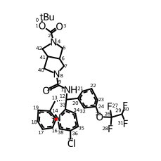 CC(C)(C)OC(=O)N1CC2CN(C(=O)N[C@@](Cc3ccccc3)(c3cccc(OC(F)(F)C(F)F)c3)c3ccc(Cl)cn3)CC2C1